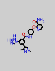 Cc1nn(C)cc1-c1cc(C(=O)N[C@H]2CC[C@H](Oc3ncccc3C(N)=O)CC2)cc(N2C=NNN2)c1